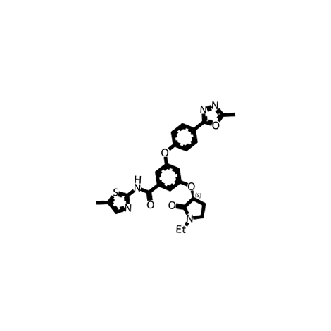 CCN1CC[C@H](Oc2cc(Oc3ccc(-c4nnc(C)o4)cc3)cc(C(=O)Nc3ncc(C)s3)c2)C1=O